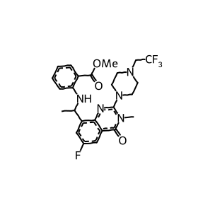 COC(=O)c1ccccc1NC(C)c1cc(F)cc2c(=O)n(C)c(N3CCN(CC(F)(F)F)CC3)nc12